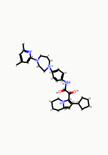 Cc1cc(C)nc(N2CCCN(c3ccc(NC(=O)C(=O)c4c(C5CCCC5)cc5n4CCCC5)cc3)CC2)c1